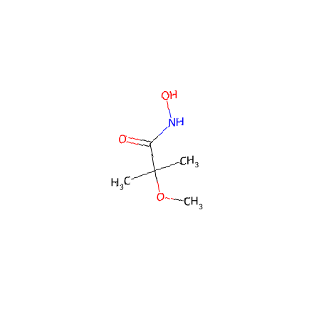 COC(C)(C)C(=O)NO